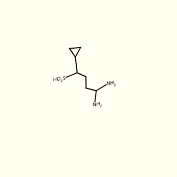 NC(N)CCC(C1CC1)S(=O)(=O)O